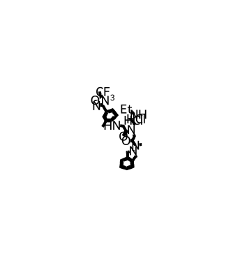 CCNCCN(CC(=O)N(C)N1Cc2ccccc2C1)C(=O)CNc1ccc(-c2noc(C(F)(F)F)n2)cc1C.Cl.Cl